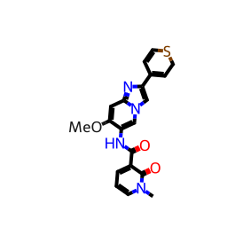 COc1cc2nc(C3=CCSC=C3)cn2cc1NC(=O)c1cccn(C)c1=O